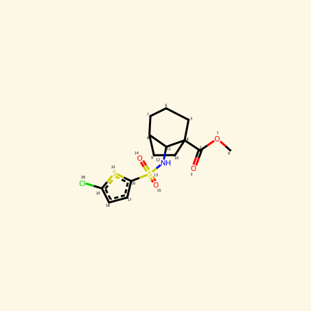 COC(=O)C12CCCC(CC1)C2NS(=O)(=O)c1ccc(Cl)s1